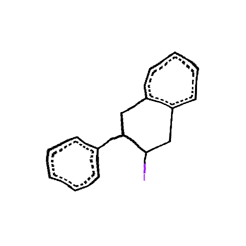 IC1Cc2ccccc2CC1c1ccccc1